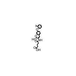 O=C(O)CCCC(=O)N/C(=C/c1ccc(Oc2ccccc2I)cc1)C(=O)O